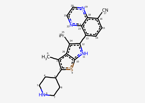 Cc1c(C2CCNCC2)sc2[nH]c(-c3ccc(C#N)c4nccnc34)c(C(C)C)c12